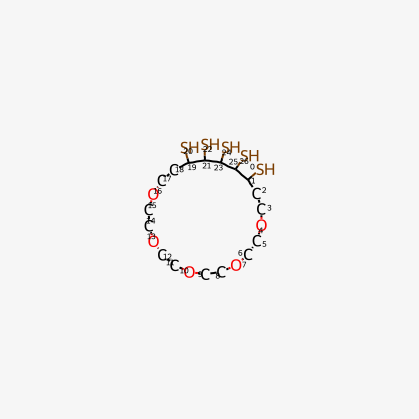 SC1CCOCCOCCOCCOCCOCCC(S)C(S)C(S)C1S